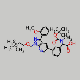 COc1ccccc1-c1nn(COCC[Si](C)(C)C)c2ncc(-c3cccc(C(C(=O)O)N(C)C(=O)OC(C)(C)C)c3)cc12